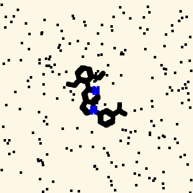 CCc1cccc(CC)c1-c1cc2ccn(-c3cccc(C(C)C)c3)c2cn1